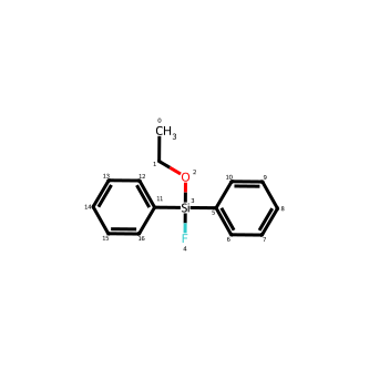 CCO[Si](F)(c1ccccc1)c1ccccc1